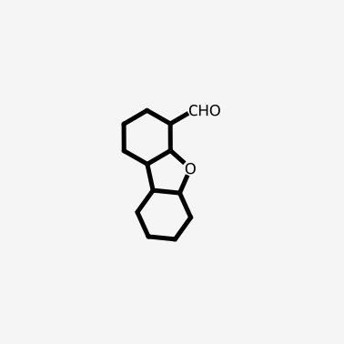 O=CC1CCCC2C3CCCCC3OC12